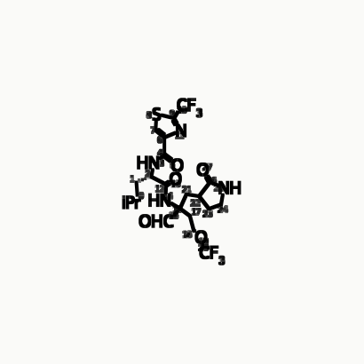 CC(C)C[C@H](NC(=O)c1csc(C(F)(F)F)n1)C(=O)N[C@@](C=O)(CCOC(F)(F)F)CC1CCNC1=O